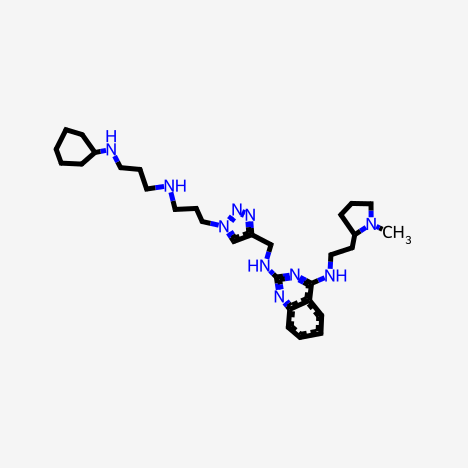 CN1CCCC1CCNc1nc(NCc2cn(CCCNCCCNC3CCCCC3)nn2)nc2ccccc12